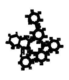 C1=CC2=Nc3c(n4c5ccccc5c5ccc6c7ccccc7n(c7ccc(-c8ccccn8)cc37)c6c54)NC2C=C1